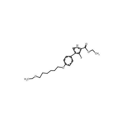 CCOCCCCCCOc1ccc(-c2c[nH]c(C(=O)OCC)c2F)cc1